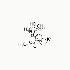 CCC(C)(C)[O-].CCOC(=O)C1C(=O)C2CC3CCCC(C2)N31.Cl.[K+]